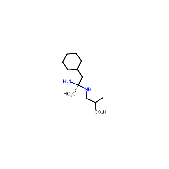 CC(CN[C@@](N)(CC1CCCCC1)C(=O)O)C(=O)O